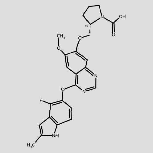 COc1cc2c(Oc3ccc4[nH]c(C)cc4c3F)ncnc2cc1OC[C@@H]1CCCN1C(=O)O